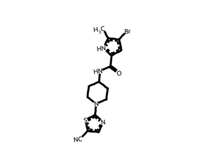 Cc1[nH]c(C(=O)NC2CCN(c3ncc(C#N)s3)CC2)cc1Br